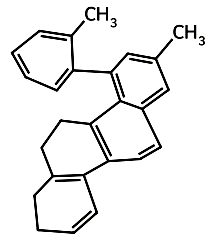 Cc1cc(-c2ccccc2C)c2c3c(ccc2c1)C1=C(CCC=C1)CC3